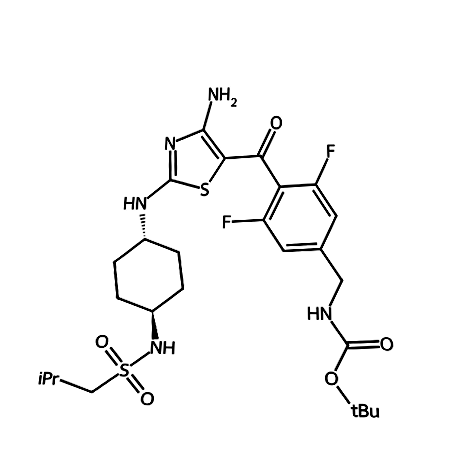 CC(C)CS(=O)(=O)N[C@H]1CC[C@H](Nc2nc(N)c(C(=O)c3c(F)cc(CNC(=O)OC(C)(C)C)cc3F)s2)CC1